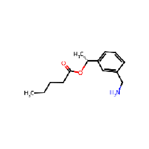 CCCCC(=O)O[C@H](C)c1cccc(CN)c1